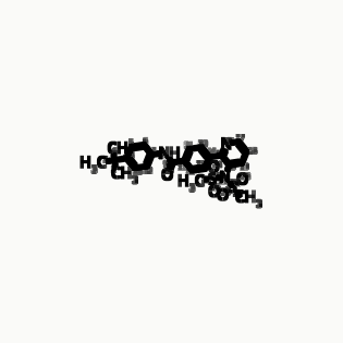 CC(C)(C)c1ccc(NC(=O)c2ccc(-c3ncccc3N(S(C)(=O)=O)S(C)(=O)=O)cc2)cc1